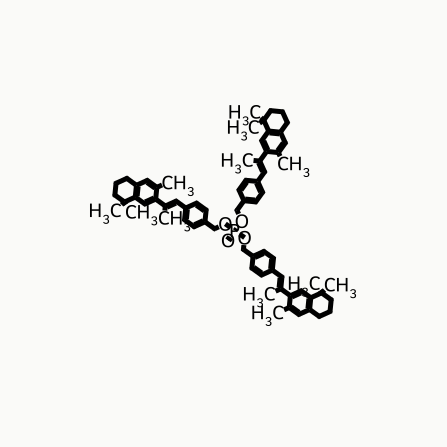 C/C(=C\c1ccc(COP(=O)(OCc2ccc(/C=C(\C)c3cc4c(cc3C)CCCC4(C)C)cc2)OCc2ccc(/C=C(\C)c3cc4c(cc3C)CCCC4(C)C)cc2)cc1)c1cc2c(cc1C)CCCC2(C)C